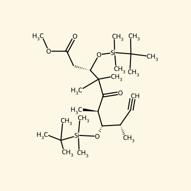 C#C[C@H](C)[C@H](O[Si](C)(C)C(C)(C)C)[C@@H](C)C(=O)C(C)(C)[C@H](CC(=O)OC)O[Si](C)(C)C(C)(C)C